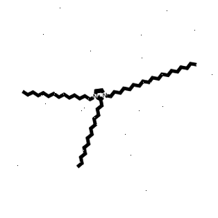 CCCCCCCCCCCCCCCCCCCn1cc[n+](CCCCCCCCCCCCCC)c1CCCCCCCCCCCCCC